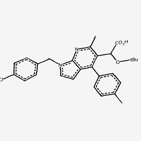 Cc1ccc(-c2c(C(OC(C)(C)C)C(=O)O)c(C)nc3c2ccn3Cc2ccc(Cl)cc2)cc1